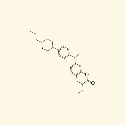 CCCC1CCC(c2ccc(C(C)c3ccc4c(c3)OC(=O)C(CC)C4)cc2)CC1